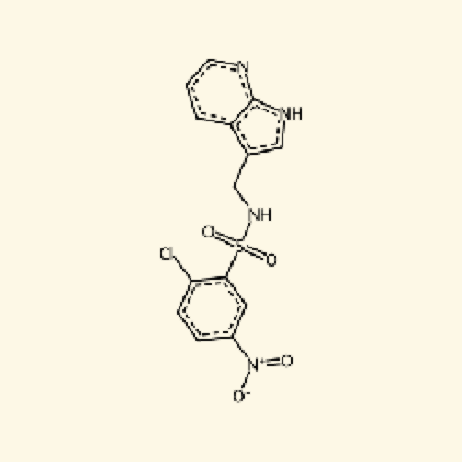 O=[N+]([O-])c1ccc(Cl)c(S(=O)(=O)NCc2c[nH]c3ncccc23)c1